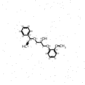 C#C[C@H](OC[C@@H](O)COc1ccccc1OC)c1ccccc1